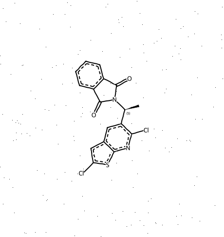 C[C@@H](c1cc2cc(Cl)sc2nc1Cl)N1C(=O)c2ccccc2C1=O